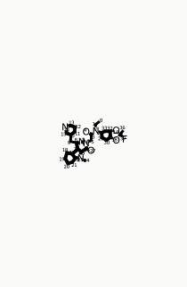 CCN(C(=O)Cn1nc(Cc2cccnc2)c2c3ccccc3n(C)c2c1=O)c1ccc2c(c1)OC(C)(F)O2